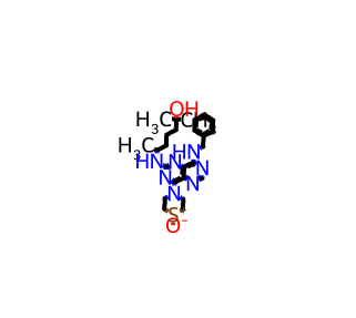 CC(CCCC(C)(C)O)Nc1nc(N2CC[S+]([O-])CC2)c2ncnc(NCc3ccccc3)c2n1